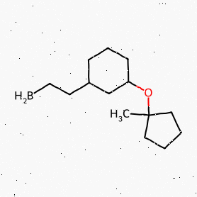 BCCC1CCCC(OC2(C)CCCC2)C1